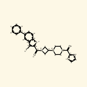 O=C(c1nccs1)N1CCN(C2CN(C(=O)c3sc4ccc(-c5ccccc5)cc4c3F)C2)CC1